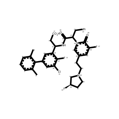 Cc1cccc(C)c1-c1cc(Cl)c(F)c(C(CC(=O)O)NC(=O)C(CC(C)C)n2cc(CCN3CC[C@@H](F)C3)cc(F)c2=O)c1